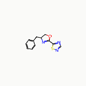 c1ccc(CC2COC(c3ncns3)=N2)cc1